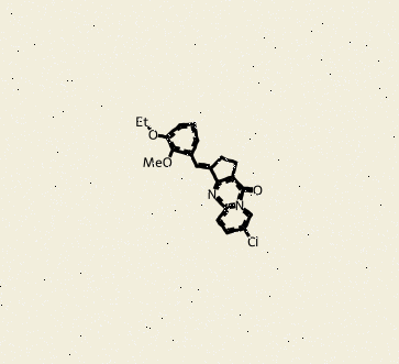 CCOc1cccc(C=C2CCc3c2nc2ccc(Cl)cn2c3=O)c1OC